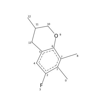 Cc1c(F)cc2c(c1C)OCC(C)C2